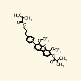 C=C(C)C(=O)OCCCc1ccc(-c2ccc3c(sc4c(OC(F)(F)F)c(OC(=O)C(=C)C)ccc43)c2OC(F)(F)F)cc1